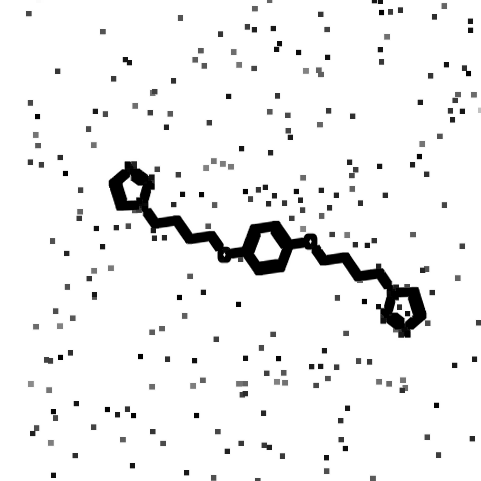 c1cn(CCCCOc2ccc(OCCCCn3ccnn3)cc2)nn1